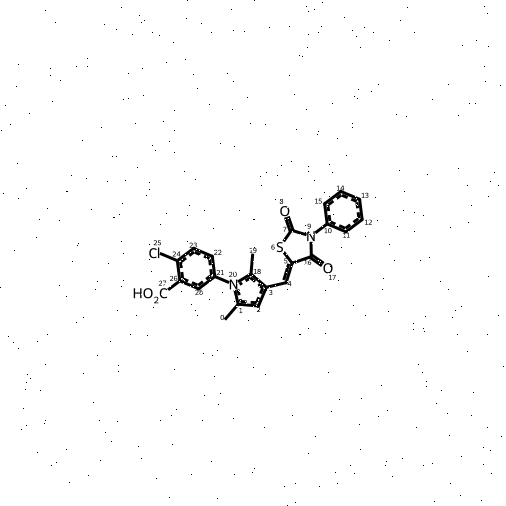 Cc1cc(C=C2SC(=O)N(c3ccccc3)C2=O)c(C)n1-c1ccc(Cl)c(C(=O)O)c1